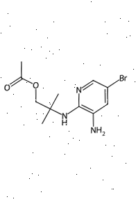 CC(=O)OCC(C)(C)Nc1ncc(Br)cc1N